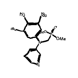 COP(=O)(CN(c1cccnc1)c1cc(C(C)(C)C)c(O)c(C(C)(C)C)c1)OC